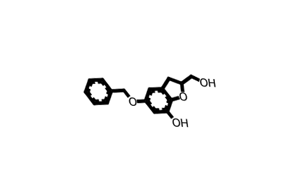 OCC1Cc2cc(OCc3ccccc3)cc(O)c2O1